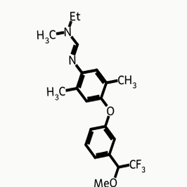 CCN(C)C=Nc1cc(C)c(Oc2cccc(C(OC)C(F)(F)F)c2)cc1C